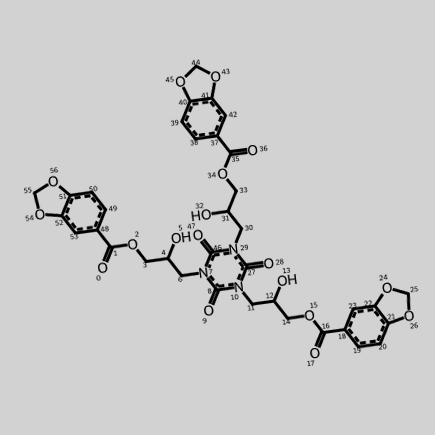 O=C(OCC(O)Cn1c(=O)n(CC(O)COC(=O)c2ccc3c(c2)OCO3)c(=O)n(CC(O)COC(=O)c2ccc3c(c2)OCO3)c1=O)c1ccc2c(c1)OCO2